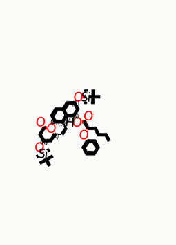 CCCCC(Oc1ccccc1)C(=O)O[C@H]1C[C@H](O[Si](C)(C)C(C)(C)C)C=C2C=C[C@H](C)[C@H](CC[C@@H]3C[C@@H](O[Si](C)(C)C(C)(C)C)CC(=O)O3)[C@H]21